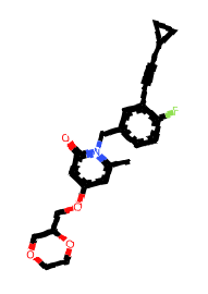 Cc1cc(OCC2COCCO2)cc(=O)n1Cc1ccc(F)c(C#CC2CC2)c1